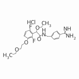 CCOCCOc1ccc(F)c(C(OCC)C(=O)NCc2ccc(C(=N)N)cc2)c1F.Cl